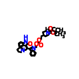 CC(C)(C)OC(=O)N1CCC(CCOC(=O)OCn2cc(C(CN3CCCCC3)=C3C(=O)Nc4ccccc43)c3ccccc32)CC1